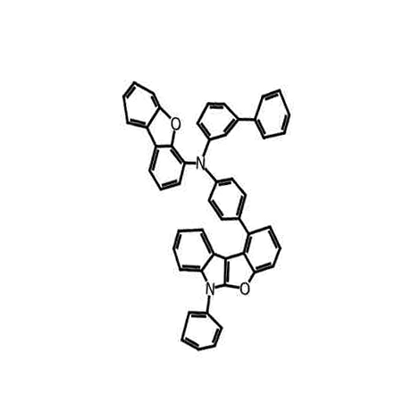 c1ccc(-c2cccc(N(c3ccc(-c4cccc5oc6c(c7ccccc7n6-c6ccccc6)c45)cc3)c3cccc4c3oc3ccccc34)c2)cc1